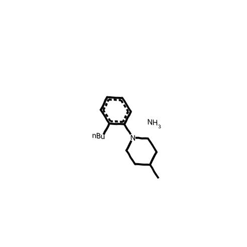 CCCCc1ccccc1N1CCC(C)CC1.N